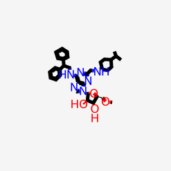 COC[C@H]1O[C@@H](n2cnc3c(NCC(c4ccccc4)c4ccccc4)nc(CNC4CCC(C(C)C)CC4)nc32)[C@H](O)[C@@H]1O